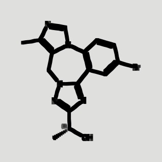 Cc1ncn2c1Cn1nc([C@@H](C)O)nc1-c1cc(Br)ccc1-2